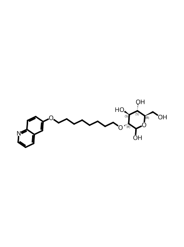 OC[C@H]1OC(O)[C@H](OCCCCCCCCOc2ccc3ncccc3c2)[C@@H](O)[C@@H]1O